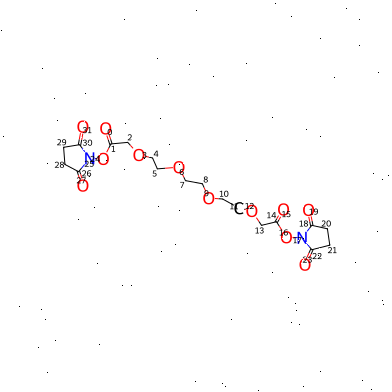 O=C(COCCOCCOCCOCC(=O)ON1C(=O)CCC1=O)ON1C(=O)CCC1=O